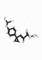 COC(=O)C(F)=CC1(c2ccc(OC(F)F)cc2)CC1